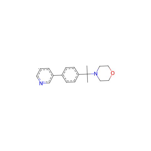 CC(C)(c1ccc(-c2c[c]cnc2)cc1)N1CCOCC1